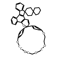 C1=CC2(Oc3c1c1c(c4ccccc34)-c3ccccc3C13CCC1(CCCCC1)CC3)c1ccc(cc1)OCCOCCOCCOCCOc1ccc2cc1